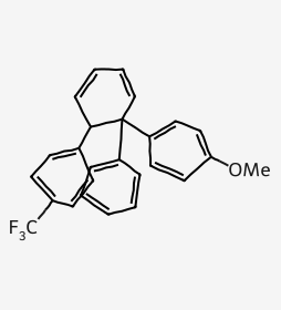 COc1ccc(C2(c3ccccc3)C=CC=CC2c2ccc(C(F)(F)F)cc2)cc1